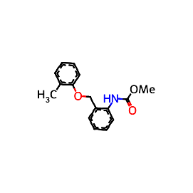 COC(=O)Nc1ccccc1COc1ccccc1C